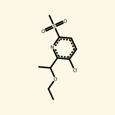 CCOC(C)c1nc(S(C)(=O)=O)ccc1Cl